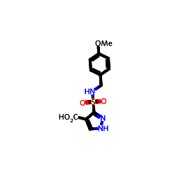 COc1ccc(CNS(=O)(=O)c2n[nH]cc2C(=O)O)cc1